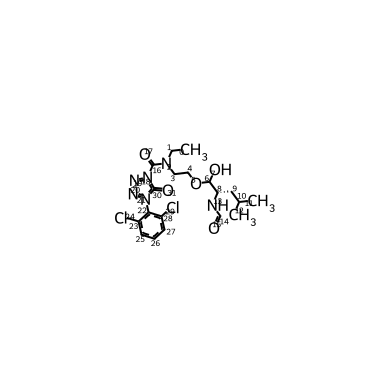 CCN(CCOC(O)[C@H](CC(C)C)NC=O)C(=O)n1nnn(-c2c(Cl)cccc2Cl)c1=O